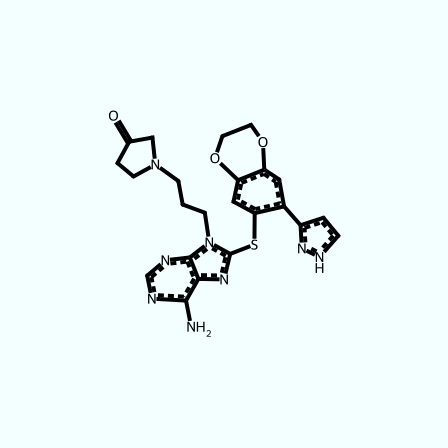 Nc1ncnc2c1nc(Sc1cc3c(cc1-c1cc[nH]n1)OCCO3)n2CCCN1CCC(=O)C1